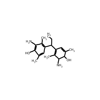 CCC(C1=C(C)C(N)C(O)C(C)=C1)c1cc(C)c(O)c(N)c1C